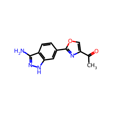 CC(=O)c1coc(-c2ccc3c(N)n[nH]c3c2)n1